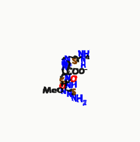 CO/N=C(\C(=O)N[C@@H]1C(=O)N2C(C(=O)[O-])=C(C[n+]3ccc4n(Cc5cc(C(=N)NC6CC6)cs5)ccn43)CS[C@H]12)c1csc(N)n1